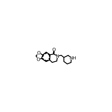 O=C1c2cc3c(cc2CCN1CC1CCCNC1)OCO3